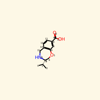 CC(C)[C@H]1COc2cc(C(=O)O)ccc2CN1